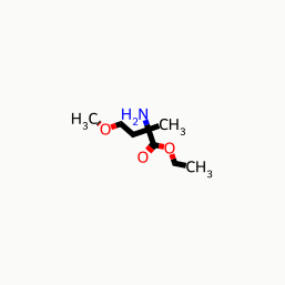 CCOC(=O)C(C)(N)CCOC